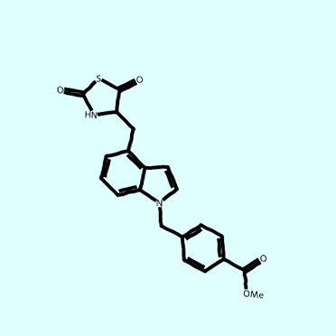 COC(=O)c1ccc(Cn2ccc3c(CC4NC(=O)SC4=O)cccc32)cc1